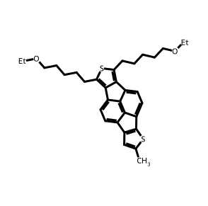 CCOCCCCCc1sc(CCCCCOCC)c2c1-c1ccc3c4c(ccc-2c14)-c1sc(C)cc1-3